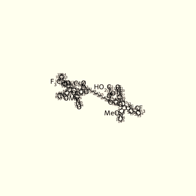 COc1cc2c3c(c4c(c2cc1N1CCCCC1)-c1ccc(-c2ccccc2C(F)(F)F)cc1C4(C)C)C=CC(c1ccc(OC(CCCCCCCCCCC(COC(=O)CCC(=O)O)Oc2ccc(C4(c5ccc(N6CCOCC6)cc5)C=Cc5c6c(c7cc(N8CCCCC8)c(OC)cc7c5O4)-c4ccc(-c5ccccc5C(F)(F)F)cc4C6(C)C)cc2)COC(=O)CCC(=O)O)cc1)(c1ccc(N2CCOCC2)cc1)O3